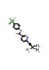 CC(C)(C)C#Cc1ccc(C(=O)Nc2ccc(C(F)(F)F)cc2)cn1